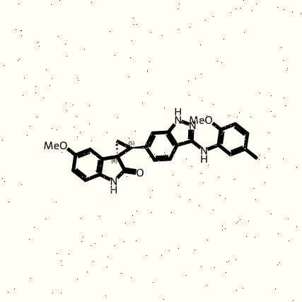 COc1ccc2c(c1)[C@]1(C[C@H]1c1ccc3c(Nc4cc(C)ccc4OC)n[nH]c3c1)C(=O)N2